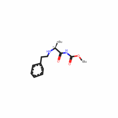 CCCC[C@H](NCCc1ccccc1)C(=O)NC(=O)OC(C)(C)C